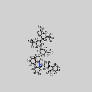 CC(C)(C)c1cc(-c2cccc(N(c3ccc4c(c3)C(C)(C)c3ccccc3-4)c3ccccc3-c3ccccc3)c2)cc(-c2cc(-c3cc(C(C)(C)C)cc(C(C)(C)C)c3)cc(C(C)(C)C)c2)c1